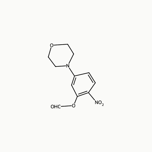 O=COc1cc(N2CCOCC2)ccc1[N+](=O)[O-]